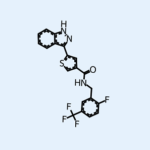 O=C(NCc1cc(C(F)(F)F)ccc1F)c1csc(-c2n[nH]c3ccccc23)c1